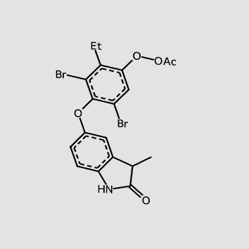 CCc1c(OOC(C)=O)cc(Br)c(Oc2ccc3c(c2)C(C)C(=O)N3)c1Br